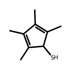 CC1=C(C)C(S)C(C)=C1C